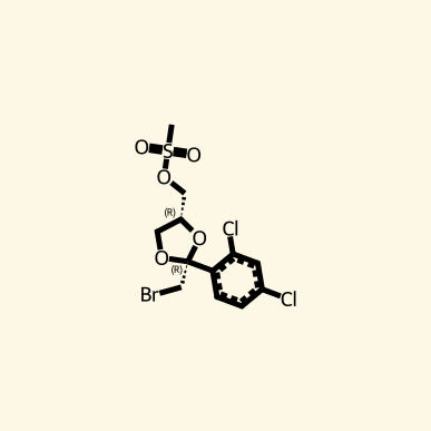 CS(=O)(=O)OC[C@H]1CO[C@](CBr)(c2ccc(Cl)cc2Cl)O1